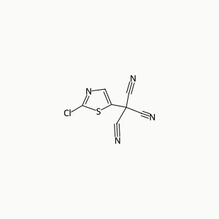 N#CC(C#N)(C#N)c1cnc(Cl)s1